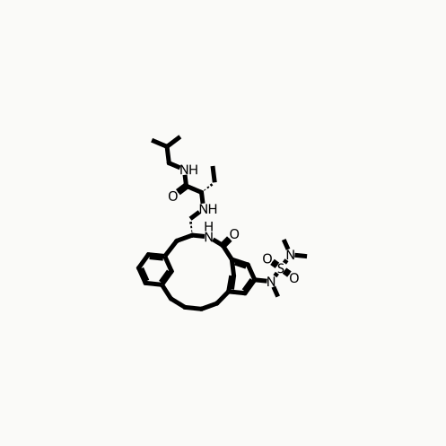 CC[C@H](NC[C@H]1Cc2cccc(c2)CCCCc2cc(cc(N(C)S(=O)(=O)N(C)C)c2)C(=O)N1)C(=O)NCC(C)C